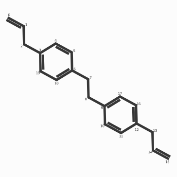 C=CCc1ccc(CCc2ccc(CC=C)cc2)cc1